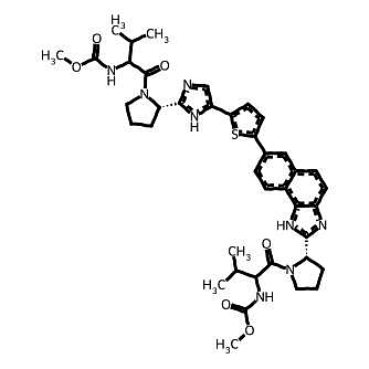 COC(=O)NC(C(=O)N1CCC[C@H]1c1ncc(-c2ccc(-c3ccc4c(ccc5nc([C@@H]6CCCN6C(=O)C(NC(=O)OC)C(C)C)[nH]c54)c3)s2)[nH]1)C(C)C